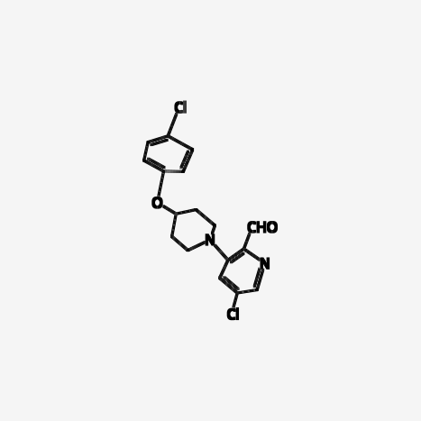 O=Cc1ncc(Cl)cc1N1CCC(Oc2ccc(Cl)cc2)CC1